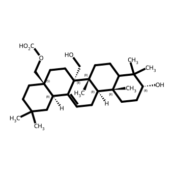 CC1(C)CC[C@]2(COC(=O)O)CC[C@]3(CO)C(=CC[C@@H]4[C@@]5(C)CC[C@@H](O)C(C)(C)C5CC[C@]43C)[C@H]2C1